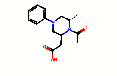 CC(=O)N1[C@@H](CC(=O)O)CN(c2ccccc2)C[C@@H]1C